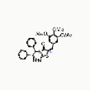 COc1cc(/C=c2/sc3n(c2=O)C(c2ccccc2)C(c2ccccc2)=NN=3)cc(OC)c1OC